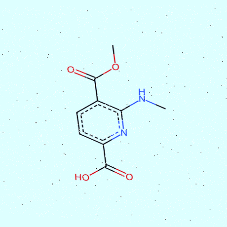 CNc1nc(C(=O)O)ccc1C(=O)OC